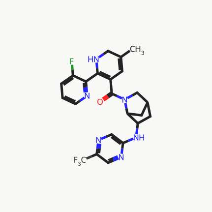 CC1=CC(C(=O)N2CC3CC(Nc4cnc(C(F)(F)F)cn4)C2C3)=C(c2ncccc2F)NC1